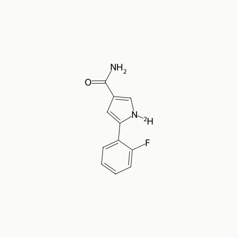 [2H]n1cc(C(N)=O)cc1-c1ccccc1F